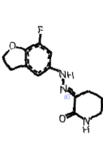 O=C1NCCC/C1=N\Nc1cc(F)c2c(c1)CCO2